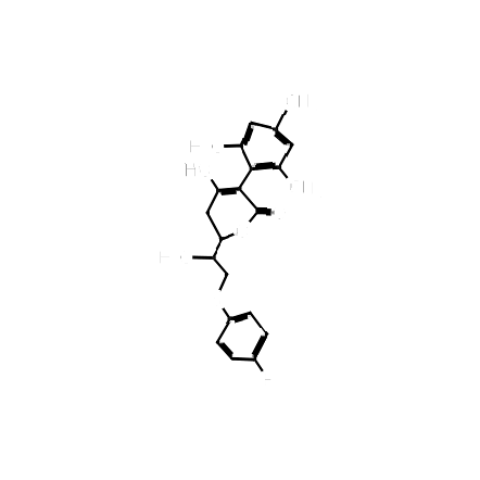 Cc1cc(C)c(C2=C(O)CC(C(C)CSc3ccc(F)cc3)OC2=O)c(C)c1